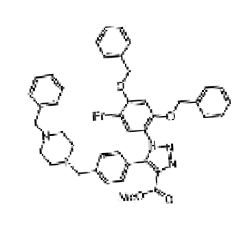 COC(=O)c1nnn(-c2cc(C(C)C)c(OCc3ccccc3)cc2OCc2ccccc2)c1-c1ccc(CN2CCN(Cc3ccccc3)CC2)cc1